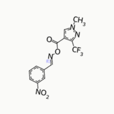 Cn1cc(C(=O)O/N=C/c2cccc([N+](=O)[O-])c2)c(C(F)(F)F)n1